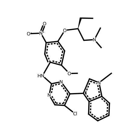 CC[C@@H](CN(C)C)Oc1cc(OC)c(Nc2ncc(Cl)c(-c3cn(C)c4ccccc34)n2)cc1[N+](=O)[O-]